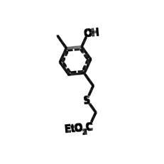 CCOC(=O)CSCc1ccc(C)c(O)c1